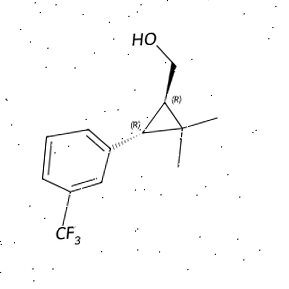 CC1(C)[C@H](CO)[C@H]1c1cccc(C(F)(F)F)c1